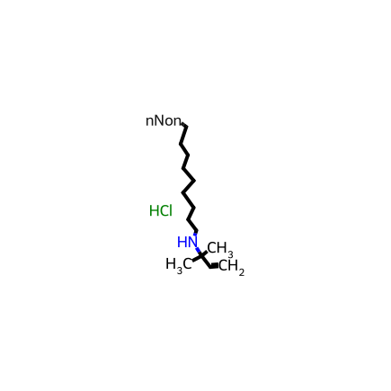 C=CC(C)(C)NCCCCCCCCCCCCCCCCCC.Cl